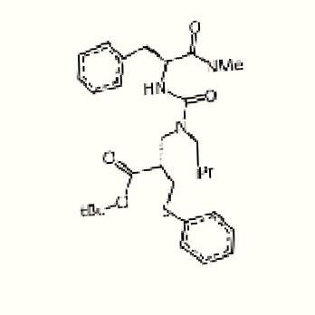 CNC(=O)[C@H](Cc1ccccc1)NC(=O)N(CC(C)C)C[C@H](CSc1ccccc1)C(=O)OC(C)(C)C